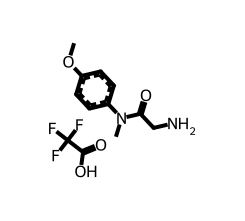 COc1ccc(N(C)C(=O)CN)cc1.O=C(O)C(F)(F)F